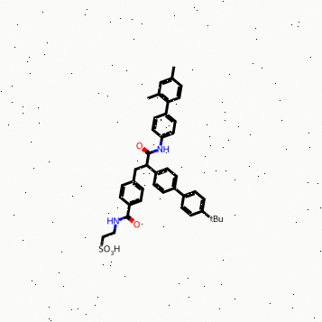 Cc1ccc(-c2ccc(NC(=O)C(Cc3ccc(C(=O)NCCS(=O)(=O)O)cc3)c3ccc(-c4ccc(C(C)(C)C)cc4)cc3)cc2)c(C)c1